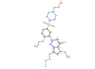 CCOc1ccc(S(=O)(=O)N2CCN(CCO)CC2)cc1-c1nc2c(CCCF)cn(CC)c2c(=O)[nH]1